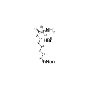 Br.C=C(CCCCCCCCCCCCCCCC)C(C)(C)N